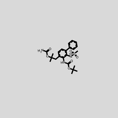 CC(C)(C)OC(=O)Nc1c(CC(C)(C)OC(N)=O)ccc(-c2ccccc2)c1NS(C)(=O)=O